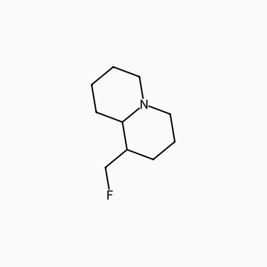 FCC1CCCN2CCCCC12